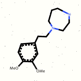 COc1ccc(CCN2CCC[N]CC2)cc1OC